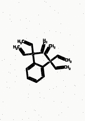 C=C[Si](C=C)(C=C)c1ccccc1[Si](C=C)(C=C)C=C